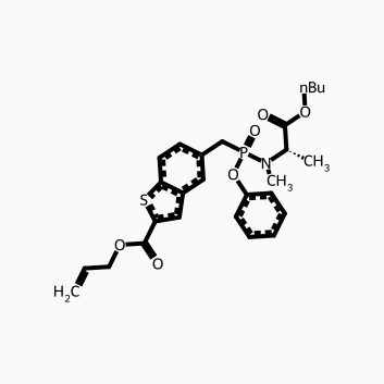 C=CCOC(=O)c1cc2cc(CP(=O)(Oc3ccccc3)N(C)[C@@H](C)C(=O)OCCCC)ccc2s1